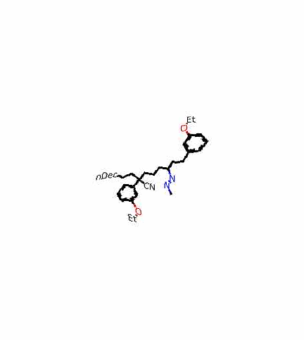 CCCCCCCCCCCCC(C#N)(CCCC(CCc1cccc(OCC)c1)N=NC)c1cccc(OCC)c1